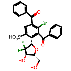 O=C(c1ccccc1)c1cc(S(=O)(=O)O)c([C@@H]2O[C@H](CO)[C@@H](O)C2(F)F)c(C(=O)c2ccccc2)c1Br